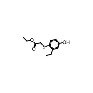 CCOC(=O)CSc1ccc(O)cc1CC